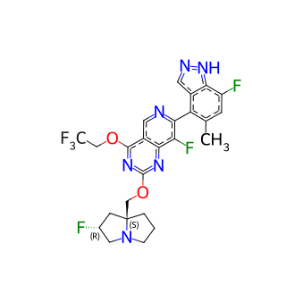 Cc1cc(F)c2[nH]ncc2c1-c1ncc2c(OCC(F)(F)F)nc(OC[C@@]34CCCN3C[C@H](F)C4)nc2c1F